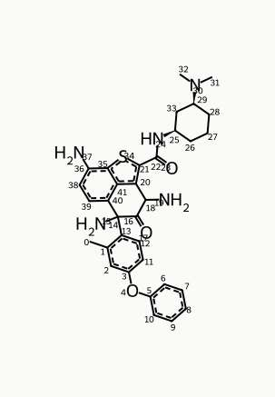 Cc1cc(Oc2ccccc2)ccc1C1(N)C(=O)C(N)c2c(C(=O)N[C@@H]3CCC[C@H](N(C)C)C3)sc3c(N)ccc1c23